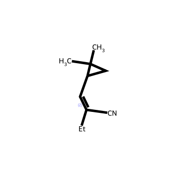 CC/C(C#N)=C/C1CC1(C)C